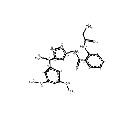 CCC(=O)Nc1ccccc1C(=O)Nc1cc(C(C)c2cc(OC)cc(OC)c2)[nH]n1